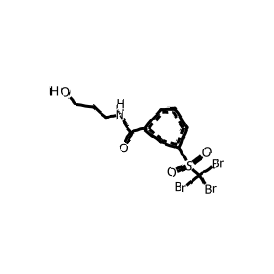 O=C(NCCCO)c1cccc(S(=O)(=O)C(Br)(Br)Br)c1